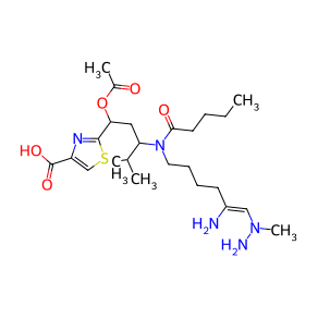 CCCCC(=O)N(CCCC/C(N)=C/N(C)N)C(CC(OC(C)=O)c1nc(C(=O)O)cs1)C(C)C